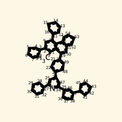 Cc1c(-c2ccccc2)cc(-c2ccccc2)c2c1c(-c1ccc(-c3cc(-c4ccccc4)nc(-c4cccc(-c5ccccc5)c4)c3)cc1)cc1ccccc12